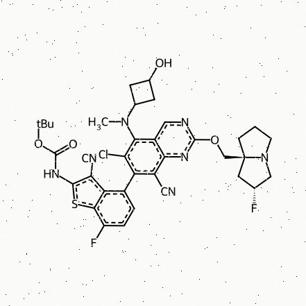 CN(c1c(Cl)c(-c2ccc(F)c3sc(NC(=O)OC(C)(C)C)c(C#N)c23)c(C#N)c2nc(OC[C@@]34CCCN3C[C@H](F)C4)ncc12)C1CC(O)C1